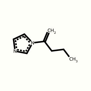 C=C(CCC)n1ccnc1